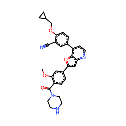 COc1cc(-c2cc3nccc(-c4ccc(OCC5CC5)c(C#N)c4)c3o2)ccc1C(=O)N1CCNCC1